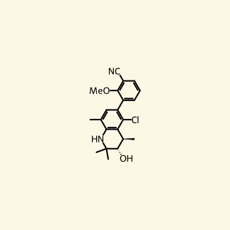 COc1c(C#N)cccc1-c1cc(C)c2c(c1Cl)[C@@H](C)[C@H](O)C(C)(C)N2